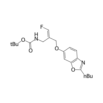 CCCCc1nc2ccc(OC/C(=C/F)CNC(=O)OC(C)(C)C)cc2o1